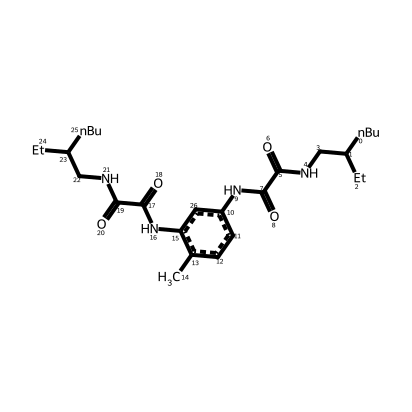 CCCCC(CC)CNC(=O)C(=O)Nc1ccc(C)c(NC(=O)C(=O)NCC(CC)CCCC)c1